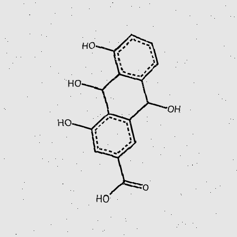 O=C(O)c1cc(O)c2c(c1)C(O)c1cccc(O)c1C2O